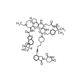 CCN1CC[C@H]2CC[C@@H](C(=O)N[C@@H](CCC(N)=O)C(=O)N[C@@H](Cc3ccc(C(C)(C)C)cc3)C(=O)N3CCC(CCC#Cc4cccc5c4CN(C4CCC(=O)NC4=O)C5=O)CC3)N2C(=O)[C@@H](NC(=O)c2cc3cc(C(F)(F)P(=O)(O)O)ccc3s2)C1